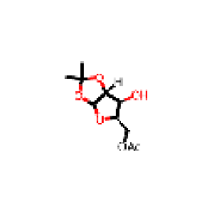 CC(=O)OC[C@H]1OC2OC(C)(C)O[C@@H]2[C@H]1O